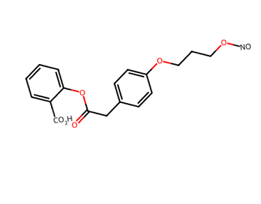 O=NOCCCOc1ccc(CC(=O)Oc2ccccc2C(=O)O)cc1